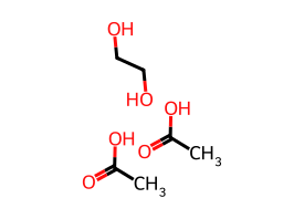 CC(=O)O.CC(=O)O.OCCO